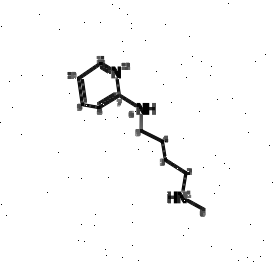 CNCCCCNc1ccccn1